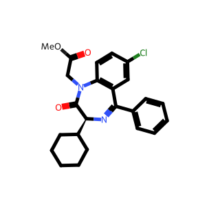 COC(=O)CN1C(=O)[C@H](C2CCCCC2)N=C(c2ccccc2)c2cc(Cl)ccc21